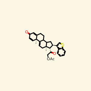 CC(=O)OCC(=O)[C@H]1[C@H](c2csc3ccccc23)CC2C3CCC4=CC(=O)C=C[C@]4(C)C3=CC[C@@]21C